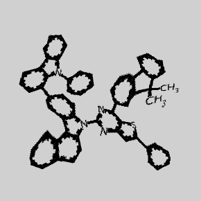 CC1(C)c2ccccc2-c2ccc(-c3nc(-n4c5ccc(-c6cccc7c8ccccc8n(-c8ccccc8)c67)cc5c5c6ccccc6ccc54)nc4cc(-c5ccccc5)sc34)cc21